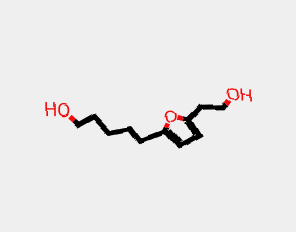 OCCCCCc1ccc(CCO)o1